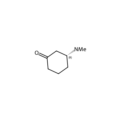 CN[C@@H]1CCCC(=O)C1